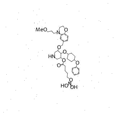 COCCCN1CCOc2ccc(COC3CNCC(OC(=O)CCCCON(O)O)C3OC3CCC(Oc4ccccc4)CC3)cc21